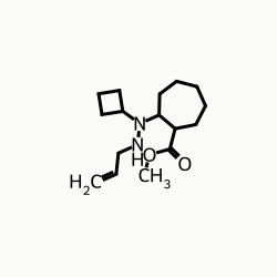 C=CCNN(C1CCC1)C1CCCCCC1C(=O)OC